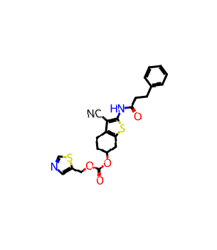 N#Cc1c(NC(=O)CCc2ccccc2)sc2c1CCC(OC(=O)OCc1cncs1)C2